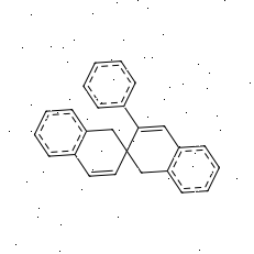 C1=CC2(Cc3ccccc31)Cc1ccccc1C=C2c1ccccc1